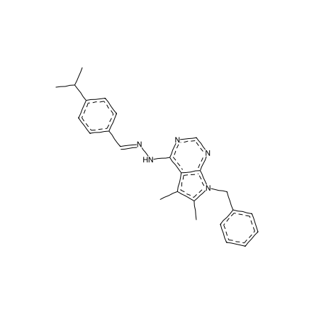 Cc1c(C)n(Cc2ccccc2)c2ncnc(NN=Cc3ccc(C(C)C)cc3)c12